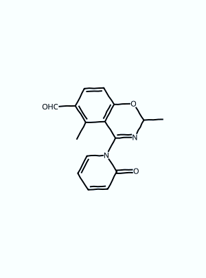 Cc1c(C=O)ccc2c1C(n1ccccc1=O)=NC(C)O2